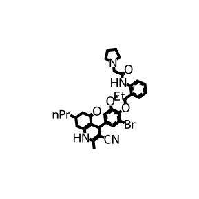 CCCC1CC(=O)C2=C(C1)NC(C)=C(C#N)C2c1cc(Br)c(OCc2ccccc2NC(=O)CN2CCCC2)c(OCC)c1